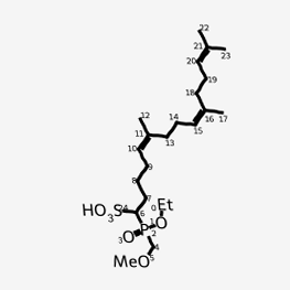 CCOP(=O)(COC)C(CCCC=C(C)CCC=C(C)CCC=C(C)C)S(=O)(=O)O